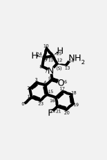 Cc1ccc(C(=O)N2C[C@H]3C[C@H]3[C@H]2CN)c(-c2ccccc2F)c1